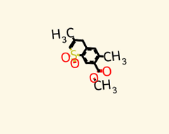 COC(=O)c1cc2c(cc1C)CC(C)=CS2(=O)=O